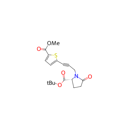 COC(=O)c1ccc(C#CCN2C(=O)CC[C@@H]2C(=O)OC(C)(C)C)s1